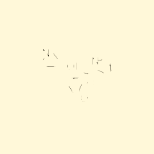 COc1ccc(C(O)Cc2ccncc2)c2cc(-c3ccccn3)oc12